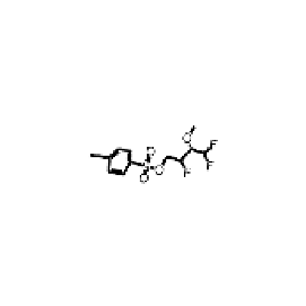 CO[C@H](C(F)F)C(F)COS(=O)(=O)c1ccc(C)cc1